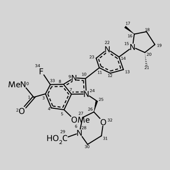 CNC(=O)c1cc(OC)c2c(nc(-c3ccc(N4[C@@H](C)CC[C@@H]4C)nc3)n2C[C@@H]2CN(C(=O)O)CCO2)c1F